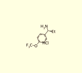 CC[C@H](N)c1ccc(OC(F)(F)F)cc1.Cl